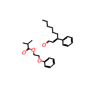 CC(C)C(=O)OCCOc1ccccc1.CCCCCCC(=CC=O)c1ccccc1